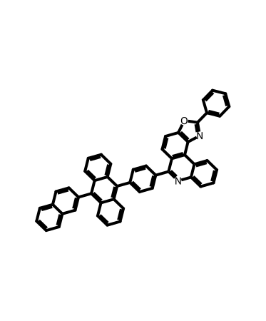 c1ccc(-c2nc3c(ccc4c(-c5ccc(-c6c7ccccc7c(-c7ccc8ccccc8c7)c7ccccc67)cc5)nc5ccccc5c43)o2)cc1